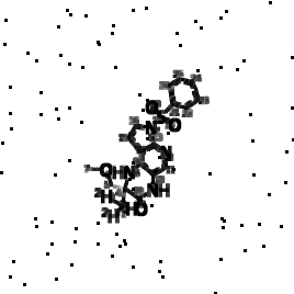 [2H]C([2H])([2H])[C@@]1(COC)Nc2c(cnc3c2ccn3S(=O)(=O)c2ccccc2)NC1=O